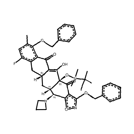 Cc1cc(F)c2c(c1OCc1ccccc1)C(=O)C1=C(O)[C@]3(O[Si](C)(C)C(C)(C)C)C(=O)c4c(OCc5ccccc5)noc4[C@@H](N4CCC4)[C@@H]3C[C@@H]1C2